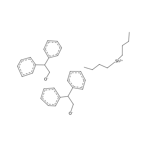 CCC[CH2][Sn+2][CH2]CCC.[O-]CC(c1ccccc1)c1ccccc1.[O-]CC(c1ccccc1)c1ccccc1